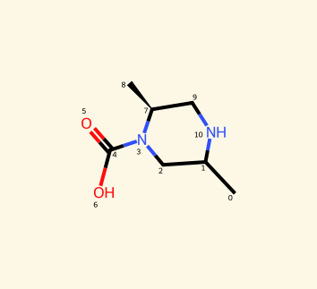 CC1CN(C(=O)O)[C@@H](C)CN1